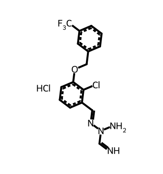 Cl.N=CN(N)/N=C/c1cccc(OCc2cccc(C(F)(F)F)c2)c1Cl